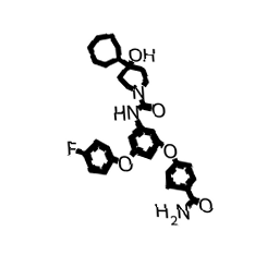 NC(=O)c1ccc(Oc2cc(NC(=O)N3CCC(O)(C4CCCCCC4)CC3)cc(Oc3ccc(F)cc3)c2)cc1